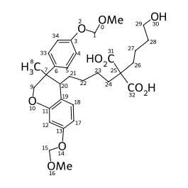 COCOc1ccc(C2(C)COc3cc(OCOC)ccc3C2CCCCC(CCCCO)(C(=O)O)C(=O)O)cc1